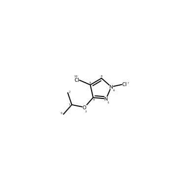 CC(C)Oc1nn(Cl)cc1Cl